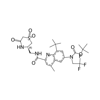 Cc1cc(C(=O)NC[C@@H]2CS(=O)(=O)CC(=O)N2)nc2c(C(C)(C)C)cc(N(CC(F)(F)F)C(=O)OC(C)(C)C)cc12